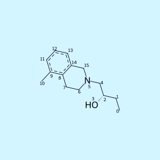 CC[C@H](O)CN1CCc2c(C)cccc2C1